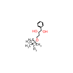 CC(C)(C)[Si](C)(C)OCC[C@H](O)[C@@H](O)c1ccccc1